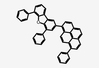 c1ccc(-c2ccc3ccc4ccc(-c5cc(-c6ccccc6)c6oc7c(-c8ccccc8)cccc7c6c5)c5ccc2c3c45)cc1